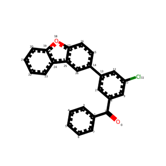 O=C(c1ccccc1)c1cc(Cl)cc(-c2ccc3oc4ccccc4c3c2)c1